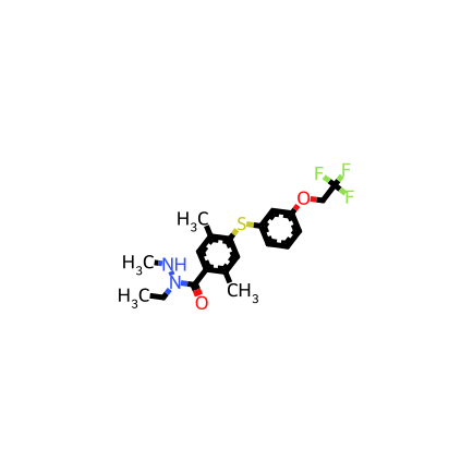 CCN(NC)C(=O)c1cc(C)c(Sc2cccc(OCC(F)(F)F)c2)cc1C